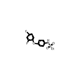 CCS(=O)(=O)Nc1c[c]c(Oc2ccc(F)cc2F)cc1